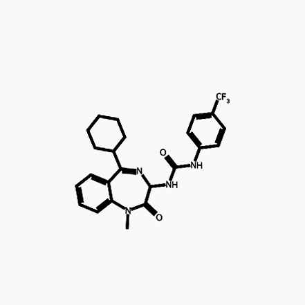 CN1C(=O)C(NC(=O)Nc2ccc(C(F)(F)F)cc2)N=C(C2CCCCC2)c2ccccc21